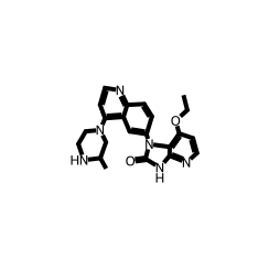 CCOc1ccnc2[nH]c(=O)n(-c3ccc4nccc(N5CCNC(C)C5)c4c3)c12